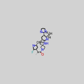 [2H]C([2H])([2H])c1nc2c(cc1-c1ncccn1)CCC1(CCN(C(=O)[C@H](C)c3cc(OC)ncc3F)C1)N2